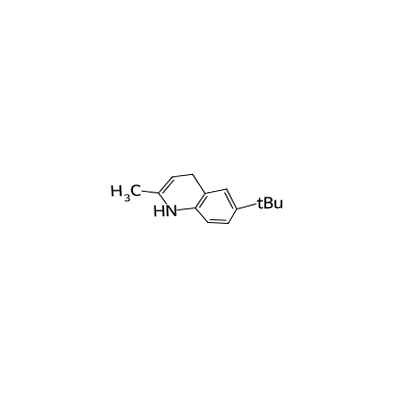 CC1=CCc2cc(C(C)(C)C)ccc2N1